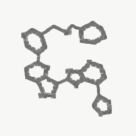 c1ccc(CNCc2cncc(-c3ccc4[nH]nc(-c5nc6c(-c7ccsc7)ccnc6[nH]5)c4n3)c2)cc1